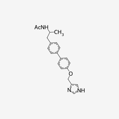 CC(=O)NC(C)Cc1ccc(-c2ccc(OCc3c[nH]cn3)cc2)cc1